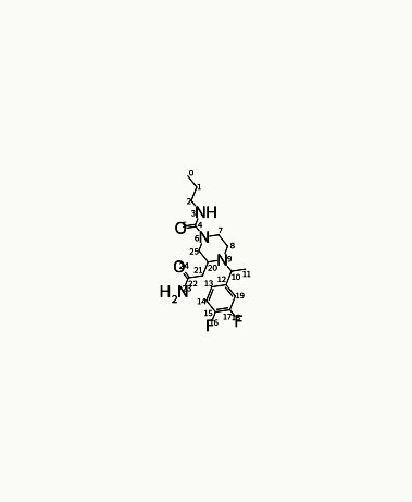 CCCNC(=O)N1CCN(C(C)c2ccc(F)c(F)c2)C(CC(N)=O)C1